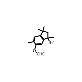 Cc1cc2c(cc1OC=O)C(C)(C(C)C)CC2(C)C